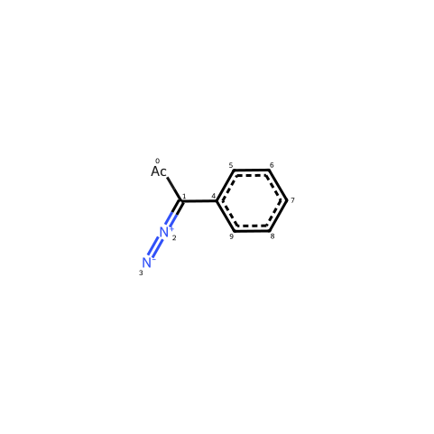 CC(=O)C(=[N+]=[N-])c1ccccc1